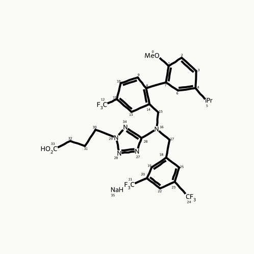 COc1ccc(C(C)C)cc1-c1ccc(C(F)(F)F)cc1CN(Cc1cc(C(F)(F)F)cc(C(F)(F)F)c1)c1nnn(CCCC(=O)O)n1.[NaH]